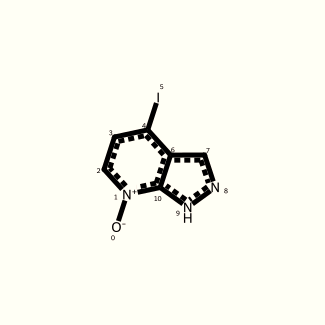 [O-][n+]1ccc(I)c2cn[nH]c21